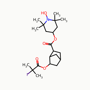 CC(C)(I)C(=O)OC1CC2CC(C(=O)OC3CC(C)(C)N(O)C(C)(C)C3)C1C2